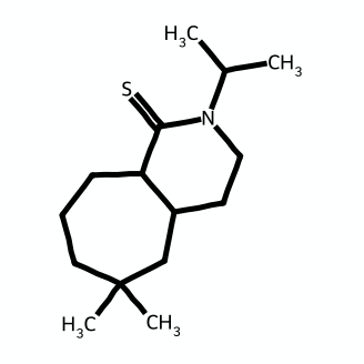 CC(C)N1CCC2CC(C)(C)CCCC2C1=S